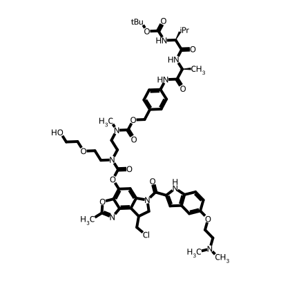 Cc1nc2c3c(cc(OC(=O)N(CCOCCO)CCN(C)C(=O)OCc4ccc(NC(=O)[C@H](C)NC(=O)[C@@H](NC(=O)OC(C)(C)C)C(C)C)cc4)c2o1)N(C(=O)c1cc2cc(OCCN(C)C)ccc2[nH]1)CC3CCl